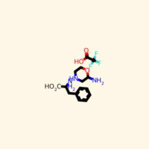 NC(Cc1ccccc1)C(=O)O.NC1CNCCO1.O=C(O)C(F)(F)F